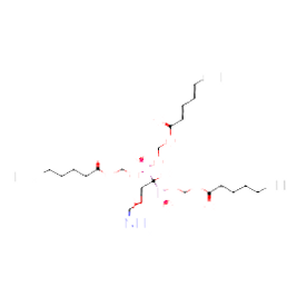 CCCCCC(=O)OCOP(=O)(O)C(O)(CCCN)P(=O)(OCOC(=O)CCCCC)OCOC(=O)CCCCC